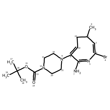 CC1\C=C(Br)/N=C(N)\C(N2CCN(C(=O)OC(C)(C)C)CC2)=C\C1